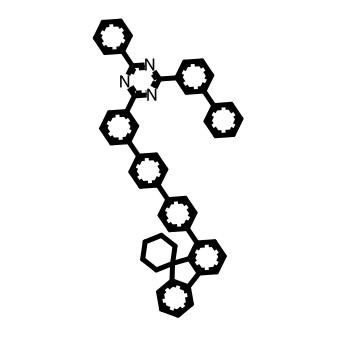 c1ccc(-c2cccc(-c3nc(-c4ccccc4)nc(-c4cccc(-c5ccc(-c6ccc(-c7cccc8c7C7(CCCCC7)c7ccccc7-8)cc6)cc5)c4)n3)c2)cc1